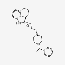 CC(c1ccccc1)N1CCN(CCCCC23CCCc4cccc(c42)NC3=O)CC1